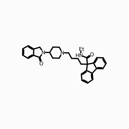 CCNC(=O)C1(CCCCN2CCC(N3Cc4ccccc4C3=O)CC2)c2ccccc2-c2ccccc21